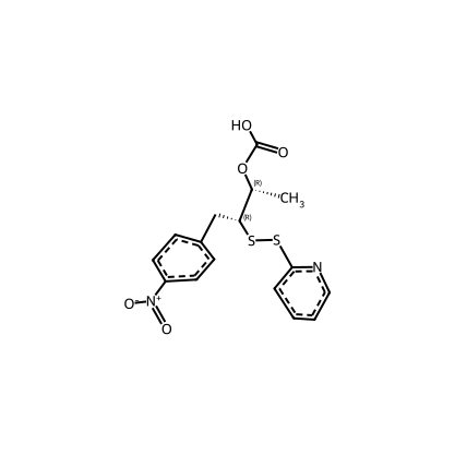 C[C@@H](OC(=O)O)[C@@H](Cc1ccc([N+](=O)[O-])cc1)SSc1ccccn1